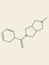 CN1CC2CN(C(=O)[C]3C=CC=CC3)CC2C1